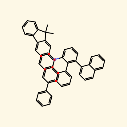 CC1(C)c2ccccc2-c2ccc(N(c3ccc(-c4ccccc4)cc3)c3cccc(-c4cccc5ccccc45)c3-c3ccccc3-c3ccccc3)cc21